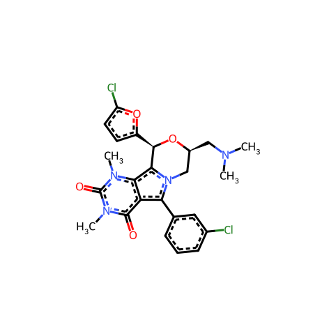 CN(C)C[C@H]1Cn2c(-c3cccc(Cl)c3)c3c(=O)n(C)c(=O)n(C)c3c2[C@@H](c2ccc(Cl)o2)O1